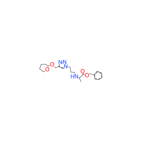 CC(NCCCn1cc(COC2CCCCO2)nn1)C(=O)OCc1ccccc1